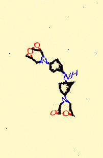 c1cc(N(CC2CO2)CC2CO2)ccc1Nc1ccc(N(CC2CO2)CC2CO2)cc1